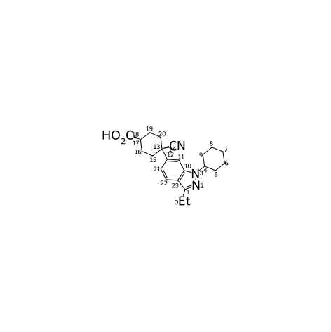 CCc1nn(C2CCCCC2)c2cc([C@]3(C#N)CC[C@@H](C(=O)O)CC3)ccc12